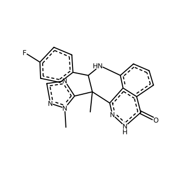 Cn1ncnc1C1(C)c2n[nH]c(=O)c3cccc(c23)NC1c1ccc(F)cc1